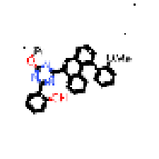 COc1ccccc1-c1cccc2cc(-c3nc(OC(C)C)nc(-c4ccccc4O)n3)c3ccccc3c12